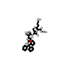 CO/N=C(\C(=O)NC1C(=O)N2C(C(=O)OC(C)(C)C)=C(/C=C/CO)SCC12)c1csc(NC(c2ccccc2)(c2ccccc2)c2ccccc2)n1